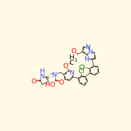 COc1nc(-c2cccc(-c3cccc(-c4ccn5ncc(C=O)c5n4)c3Cl)c2Cl)ccc1CN(C[C@@H]1CCC(=O)N1)C(=O)O